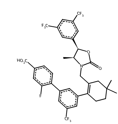 C[C@H]1[C@@H](c2cc(C(F)(F)F)cc(C(F)(F)F)c2)OC(=O)N1CC1=C(c2cc(-c3ccc(C(=O)O)cc3F)cc(C(F)(F)F)c2)CCC(C)(C)C1